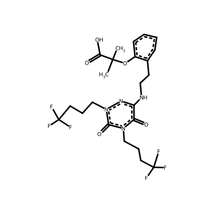 CC(C)(Oc1ccccc1CCNc1nn(CCCC(F)(F)F)c(=O)n(CCCC(F)(F)F)c1=O)C(=O)O